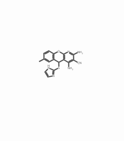 Cc1ccc2c(c1)C(Sc1ncc[nH]1)c1c(nc(N)c(C#N)c1N)O2